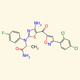 C[C@H](C(N)=O)N(c1ccc(F)cc1)c1nc(N)c(C(=O)c2cc(-c3ccc(Cl)cc3Cl)no2)s1